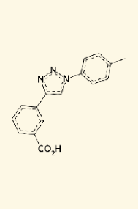 Cc1ccc(-n2cc(-c3cccc(C(=O)O)c3)nn2)cc1